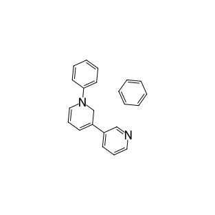 C1=CN(c2ccccc2)CC(c2cccnc2)=C1.c1ccccc1